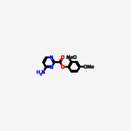 COc1ccc(OC(=O)c2nccc(N)n2)c(OC)c1